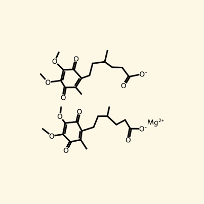 COC1=C(OC)C(=O)C(CCC(C)CCC(=O)[O-])=C(C)C1=O.COC1=C(OC)C(=O)C(CCC(C)CCC(=O)[O-])=C(C)C1=O.[Mg+2]